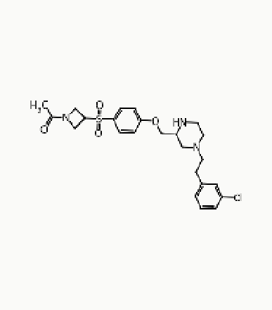 CC(=O)N1CC(S(=O)(=O)c2ccc(OC[C@@H]3CN(CCc4cccc(Cl)c4)CCN3)cc2)C1